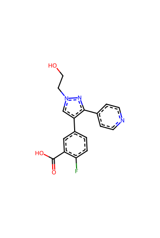 O=C(O)c1cc(-c2cn(CCO)nc2-c2ccncc2)ccc1F